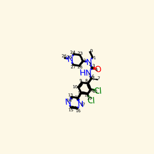 CCN(C(=O)N[C@@H](C)c1ccc(-c2cnccn2)c(Cl)c1Cl)C1CCN(C)CC1